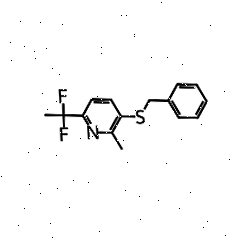 Cc1nc(C(C)(F)F)ccc1SCc1ccccc1